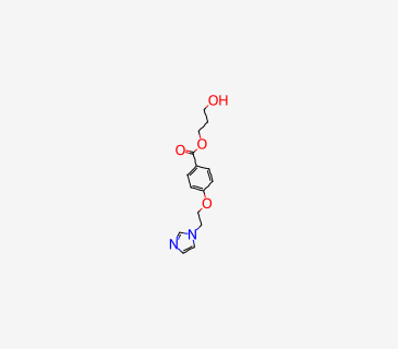 O=C(OCCCO)c1ccc(OCCn2ccnc2)cc1